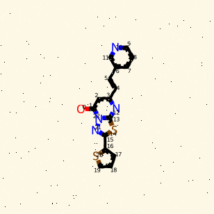 O=c1cc(/C=C/c2cccnc2)nc2sc(-c3cccs3)nn12